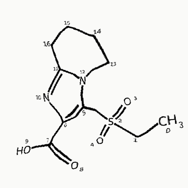 CCS(=O)(=O)c1c(C(=O)O)nc2n1CCCC2